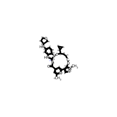 Cc1cc2cc(n1)-c1cnn(C)c1OCCCC(C1CC1)CN1/C(=N/C2=O)Nc2cc(NC3CCOC3)ccc21